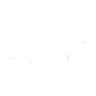 CC(NCc1ccc2c(c1)c(-c1ccccc1)c(C(N)=O)n2S)C(N)=O